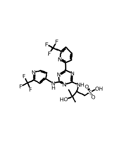 CC(C)(O)C(CS(=O)(=O)O)Nc1nc(Nc2ccnc(C(F)(F)F)c2)nc(-c2cccc(C(F)(F)F)n2)n1